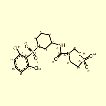 O=C(NC1CCCN(S(=O)(=O)c2c(Cl)cccc2Cl)C1)N1CCS(=O)(=O)CC1